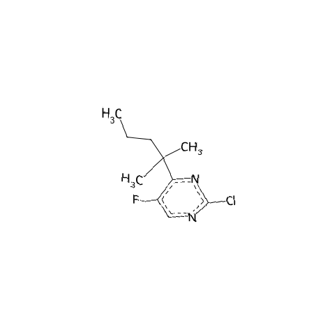 CCCC(C)(C)c1nc(Cl)ncc1F